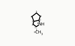 C[C@@H]1CC2CCCC2N1